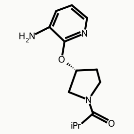 CC(C)C(=O)N1CC[C@@H](Oc2ncccc2N)C1